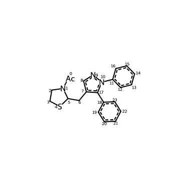 CC(=O)N1CCSC1Cc1cnn(-c2ccccc2)c1-c1ccccc1